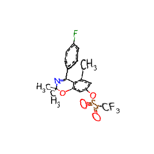 Cc1cc(OS(=O)(=O)C(F)(F)F)cc2c1C(c1ccc(F)cc1)=NC(C)(C)O2